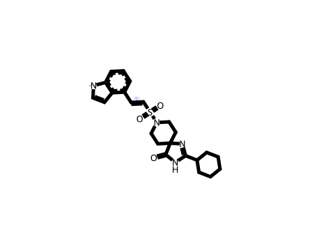 O=C1NC(C2CCCCC2)=NC12CCN(S(=O)(=O)/C=C/c1cccc3c1C=C[N]3)CC2